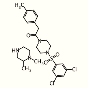 CC1CNCCN1C.Cc1ccc(CC(=O)N2CCN(S(=O)(=O)c3cc(Cl)cc(Cl)c3)CC2)cc1